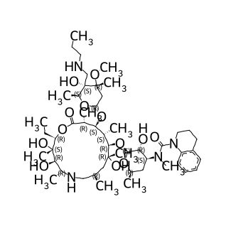 CCCNC[C@]1(O)[C@H](C)O[C@@H](O[C@H]2[C@H](C)[C@@H](O[C@@H]3O[C@H](C)C[C@H](N(C)C(=O)N4CCCc5ccccc54)[C@H]3O)[C@](C)(O)C[C@@H](C)CN[C@H](C)[C@@H](O)[C@](C)(O)[C@@H](CC)OC(=O)[C@@H]2C)C[C@@]1(C)OC